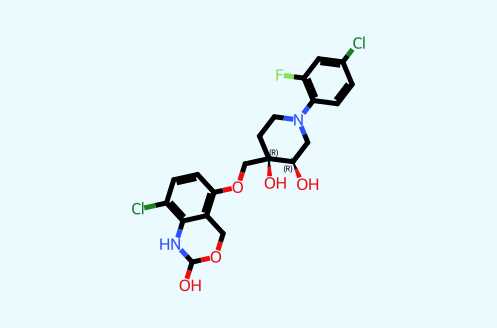 OC1Nc2c(Cl)ccc(OC[C@]3(O)CCN(c4ccc(Cl)cc4F)C[C@H]3O)c2CO1